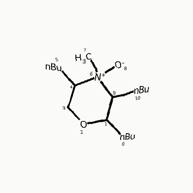 CCCCC1OCC(CCCC)[N+](C)([O-])C1CCCC